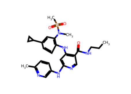 CCCNC(=O)c1cnc(Nc2ccc(C)nc2)cc1Nc1ccc(C2CC2)cc1N(C)S(C)(=O)=O